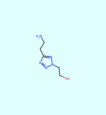 NCCc1nnn(CCO)n1